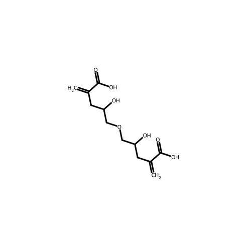 C=C(CC(O)COCC(O)CC(=C)C(=O)O)C(=O)O